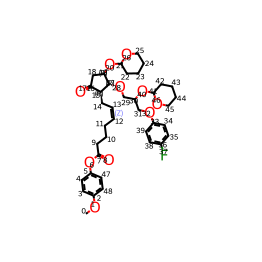 COc1ccc(OC(=O)CCC/C=C\C[C@H]2C(=O)C[C@@H](OC3CCCCO3)[C@@H]2OCC(COc2ccc(F)cc2)OC2CCCCO2)cc1